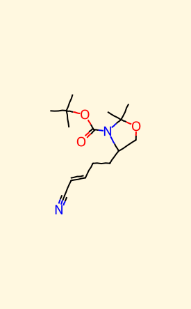 CC(C)(C)OC(=O)N1C(CCC=CC#N)COC1(C)C